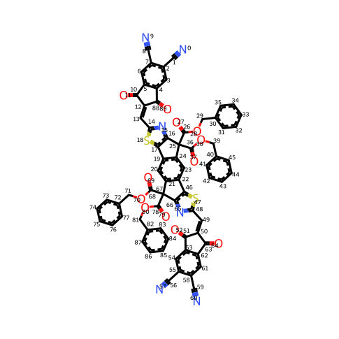 N#Cc1cc2c(cc1C#N)C(=O)C(=Cc1nc3c(s1)-c1cc4c(cc1C3(C(=O)OCc1ccccc1)C(=O)OCc1ccccc1)-c1sc(C=C3C(=O)c5cc(C#N)c(C#N)cc5C3=O)nc1C4(C(=O)OCc1ccccc1)C(=O)OCc1ccccc1)C2=O